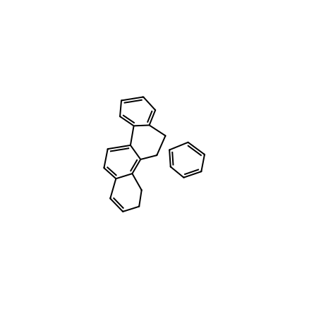 C1=Cc2ccc3c(c2CC1)CCc1ccccc1-3.c1ccccc1